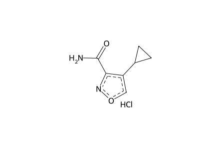 Cl.NC(=O)c1nocc1C1CC1